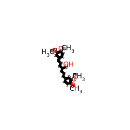 COc1ccc(CCCC(CO)CCCc2ccc(OC)c(OC)c2)cc1OC